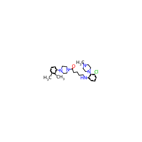 Cc1cccc(N2CCN(C(=O)CCCCNc3cccc(Cl)c3N3CCN(C)CC3)CC2)c1C